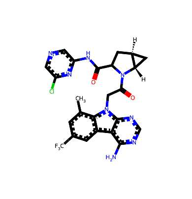 Cc1cc(C(F)(F)F)cc2c3c(N)ncnc3n(CC(=O)N3C(C(=O)Nc4cncc(Cl)n4)C[C@H]4C[C@@H]43)c12